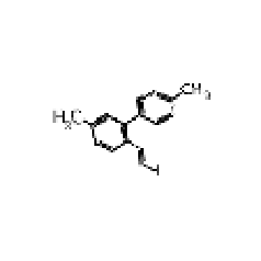 Cc1ccc(-c2cc(C)ccc2/C=C/I)cc1